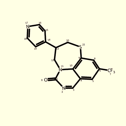 O=c1ncc2cc(C(F)(F)F)cc3c2n1CC(c1ccncc1)CS3